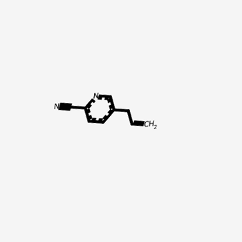 C=CCc1ccc(C#N)nc1